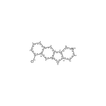 Clc1cccc2cc3c(cc12)oc1ccncc13